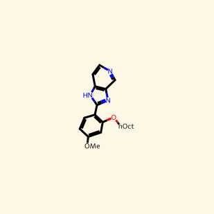 CCCCCCCCOc1cc(OC)ccc1-c1nc2cnccc2[nH]1